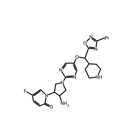 CC(C)c1noc(C(Oc2cnc(N3CC(N)C(n4cc(F)ccc4=O)C3)nc2)C2CCNCC2)n1